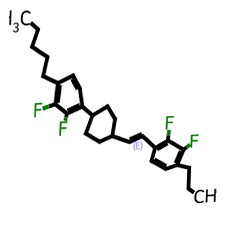 CCCCCc1ccc(C2CCC(/C=C/c3ccc(CCC)c(F)c3F)CC2)c(F)c1F